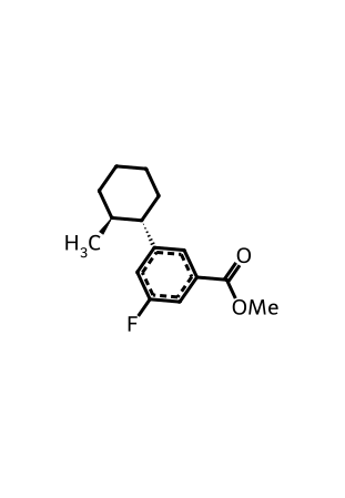 COC(=O)c1cc(F)cc([C@H]2CCCC[C@@H]2C)c1